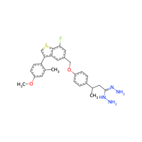 COc1ccc(-c2csc3c(F)cc(COc4ccc(C(C)C/C(=N/N)NN)cc4)cc23)c(C)c1